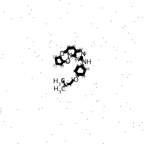 CN(C)CCOc1ccc(Nc2ncc3ccc(=O)n(OC4CCCC4)c3n2)cc1